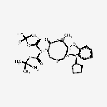 C[C@@H]1OC(=O)[C@@H](N(C(=O)OC(C)(C)C)C(=O)OC(C)(C)C)COC[C@H](OC2CCCC2)[C@H]1Oc1ccccc1